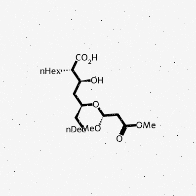 CCCCCCCCCCC[C@@H](C[C@H](O)[C@H](CCCCCC)C(=O)O)O[C@H](CC(=O)OC)OC